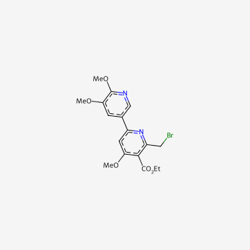 CCOC(=O)c1c(OC)cc(-c2cnc(OC)c(OC)c2)nc1CBr